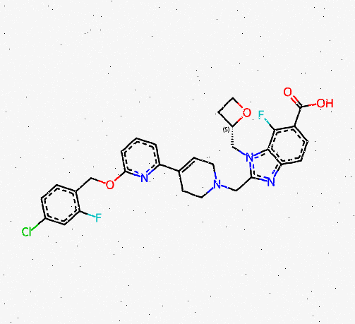 O=C(O)c1ccc2nc(CN3CC=C(c4cccc(OCc5ccc(Cl)cc5F)n4)CC3)n(C[C@@H]3CCO3)c2c1F